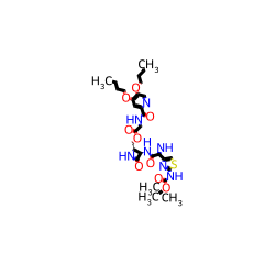 CCCCOc1cnc(C(=O)NCC(=O)OC[C@H]2NC(=O)[C@H]2NC(=O)C(=N)c2csc(NC(=O)OC(C)(C)C)n2)cc1OCCCC